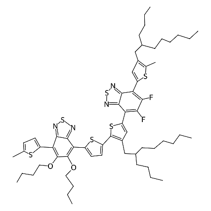 CCCCCCC(CCCC)Cc1cc(-c2c(F)c(F)c(-c3cc(CC(CCCC)CCCCCC)c(-c4ccc(-c5c(OCCCC)c(OCCCC)c(-c6ccc(C)s6)c6nsnc56)s4)s3)c3nsnc23)sc1C